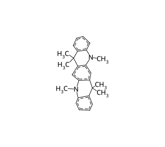 CN1c2ccccc2C(C)(C)c2cc3c(cc21)C(C)(C)c1ccccc1N3C